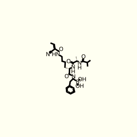 C/C=C(\C#N)C(=O)NCCCC[C@H](NC(=O)[C@H](C)NC(=O)C(C)C)C(=O)/N=C(\Cc1ccccc1)B(O)O